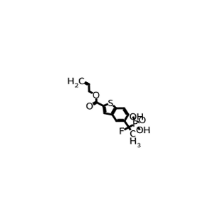 C=CCOC(=O)c1cc2cc(C(C)(F)P(=O)(O)O)ccc2s1